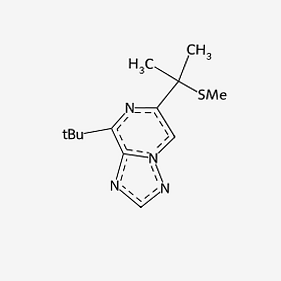 CSC(C)(C)c1cn2ncnc2c(C(C)(C)C)n1